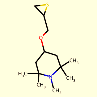 CN1C(C)(C)CC(OCC2CS2)CC1(C)C